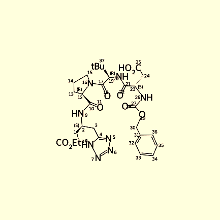 CCOC(=O)C[C@H](Cc1nnn[nH]1)NC(=O)[C@H]1CCCN1C(=O)[C@H](NC(=O)[C@H](CC(=O)O)NC(=O)OCc1ccccc1)C(C)(C)C